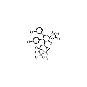 CC(C)(C)NS(=O)(=O)CC(C1CC1)N1C(=O)C(C)(CC(=O)O)CC(c2cccc(Cl)c2)C1c1ccc(Cl)cc1